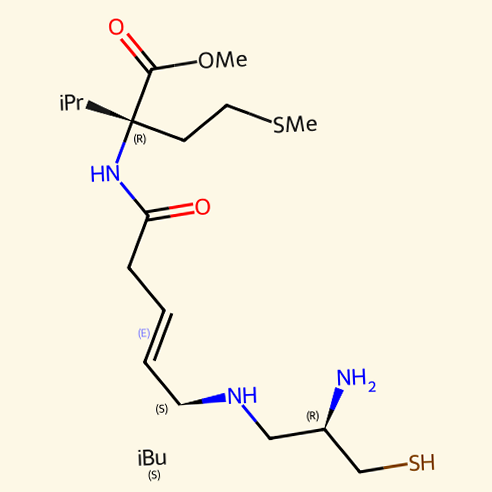 CC[C@H](C)[C@@H](/C=C/CC(=O)N[C@@](CCSC)(C(=O)OC)C(C)C)NC[C@@H](N)CS